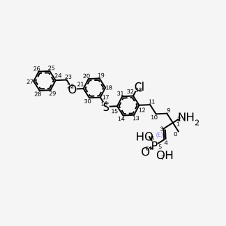 CC(N)(/C=C/P(=O)(O)O)CCCc1ccc(Sc2cccc(OCc3ccccc3)c2)cc1Cl